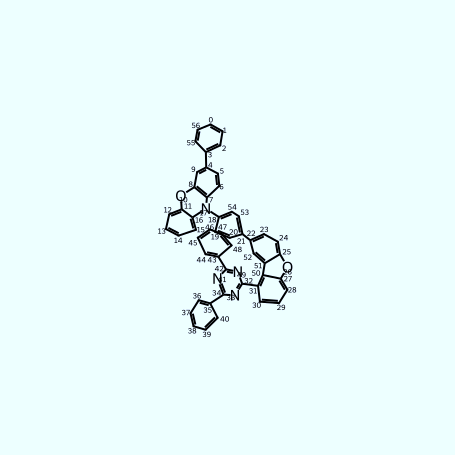 c1ccc(-c2ccc3c(c2)Oc2ccccc2N3c2ccc(-c3ccc4oc5cccc(-c6nc(-c7ccccc7)nc(-c7ccccc7)n6)c5c4c3)cc2)cc1